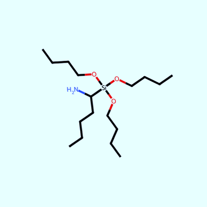 CCCCO[Si](OCCCC)(OCCCC)C(N)CCCC